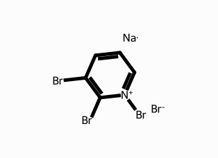 Brc1ccc[n+](Br)c1Br.[Br-].[Na]